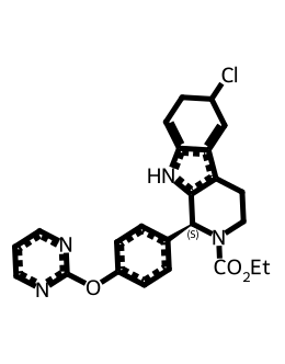 CCOC(=O)N1CCc2c([nH]c3c2=CC(Cl)CC=3)[C@@H]1c1ccc(Oc2ncccn2)cc1